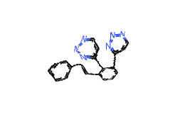 C(=Cc1cccc(-c2ccnnn2)c1-c1ccnnn1)c1ccccc1